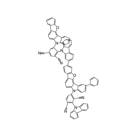 N#Cc1cc(C#N)c(-n2c3ccccc3c3ccc(-c4ccc5c(c4)oc4c5ccc5c4c4cc(-c6ccccc6)ccc4n5-c4ccc(C#N)c(-n5c6ccccc6c6ccccc65)c4C#N)cc32)c(-n2c3ccccc3c3c4oc5ccccc5c4ccc32)c1